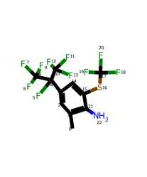 Cc1cc(C(F)(C(F)(F)F)C(F)(F)F)cc(SC(F)(F)F)c1N